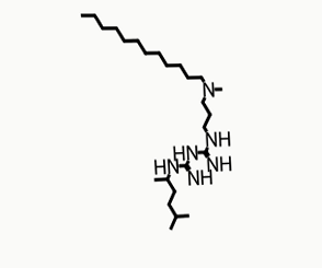 CCCCCCCCCCCCN(C)CCCNC(=N)NC(=N)NC(C)CCC(C)C